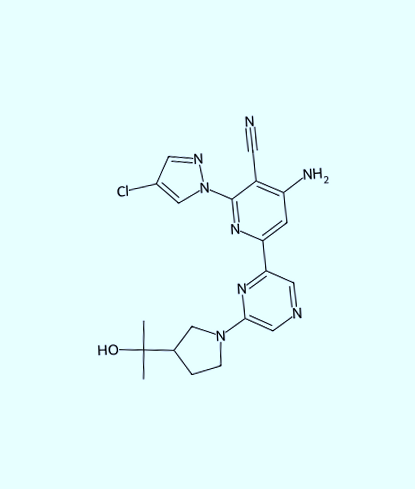 CC(C)(O)C1CCN(c2cncc(-c3cc(N)c(C#N)c(-n4cc(Cl)cn4)n3)n2)C1